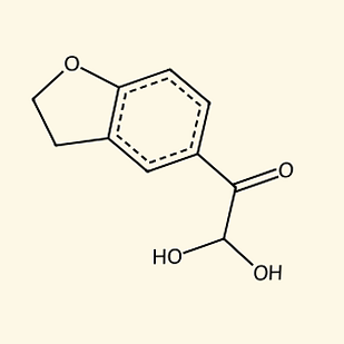 O=C(c1ccc2c(c1)CCO2)C(O)O